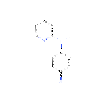 CN(c1ccc(N)cc1)c1ccccn1